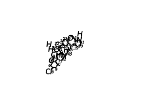 CC(=O)C1(c2ccc(Cl)cc2)CCN(CCC=C2C3=CC=CNC3=COc3ccc(C(C)(C)O)cc32)CC1